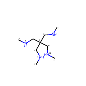 CNCC(CNC)(CNC)CNC